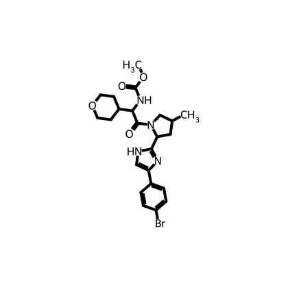 COC(=O)NC(C(=O)N1CC(C)CC1c1nc(-c2ccc(Br)cc2)c[nH]1)C1CCOCC1